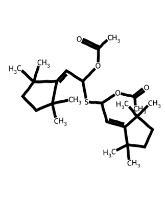 CC(=O)OC(C=C1C(C)(C)CCC1(C)C)SC(C=C1C(C)(C)CCC1(C)C)OC(C)=O